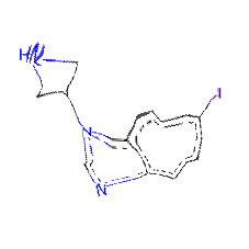 Ic1ccc2ncn(C3CNC3)c2c1